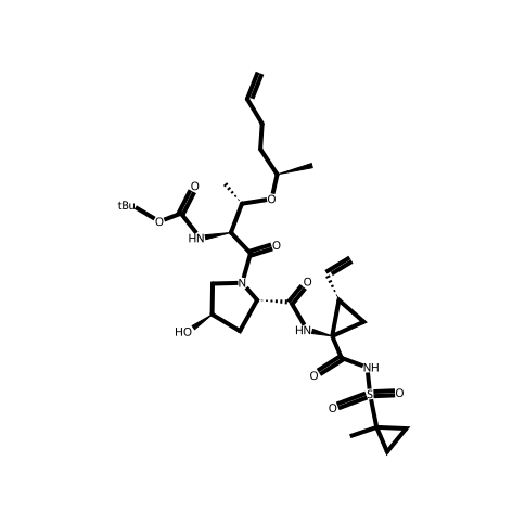 C=CCC[C@@H](C)O[C@@H](C)[C@H](NC(=O)OC(C)(C)C)C(=O)N1C[C@H](O)C[C@H]1C(=O)N[C@]1(C(=O)NS(=O)(=O)C2(C)CC2)C[C@H]1C=C